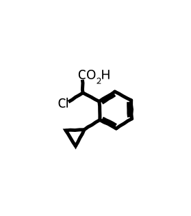 O=C(O)C(Cl)c1ccccc1C1CC1